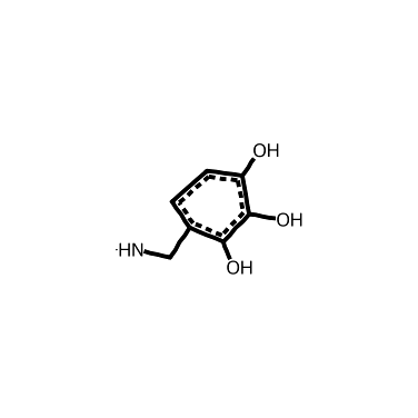 [NH]Cc1ccc(O)c(O)c1O